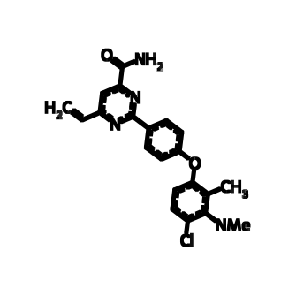 C=Cc1cc(C(N)=O)nc(-c2ccc(Oc3ccc(Cl)c(NC)c3C)cc2)n1